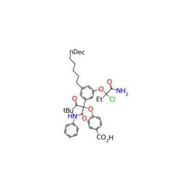 CCCCCCCCCCCCCCCc1cc(OC(Cl)(CC)C(N)=O)cc(C(Oc2ccc(C(=O)O)cc2)(C(=O)Nc2ccccc2)C(=O)C(C)(C)C)c1